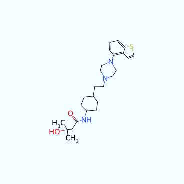 CC(C)(O)CC(=O)NC1CCC(CCN2CCN(c3cccc4sccc34)CC2)CC1